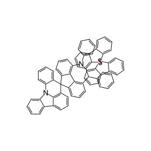 c1ccc(C(c2cccc3c2-c2c(N(c4ccccc4)c4cccc5c4sc4ccccc45)cccc2C32c3ccccc3-n3c4ccccc4c4cccc2c43)c2cccc3c2sc2ccccc23)cc1